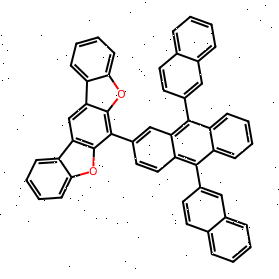 c1ccc2cc(-c3c4ccccc4c(-c4ccc5ccccc5c4)c4cc(-c5c6oc7ccccc7c6cc6c5oc5ccccc56)ccc34)ccc2c1